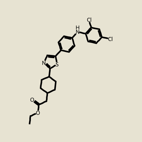 CCOC(=O)CC1CCC(c2ncc(-c3ccc(Nc4ccc(Cl)cc4Cl)cc3)s2)CC1